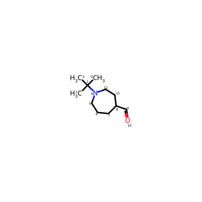 CC(C)(C)N1CCCC(C=O)CC1